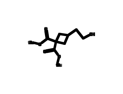 CC(C)(C)OC(=O)C1(C(=O)OC(C)(C)C)CC(CCO)C1